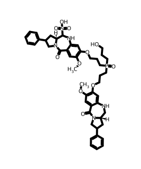 COc1cc2c(cc1OCCCP(=O)(CCCO)CCCOc1cc3c(cc1OC)C(=O)N1CC(c4ccccc4)C[C@H]1C(S(=O)(=O)O)N3)NC[C@@H]1CC(c3ccccc3)CN1C2=O